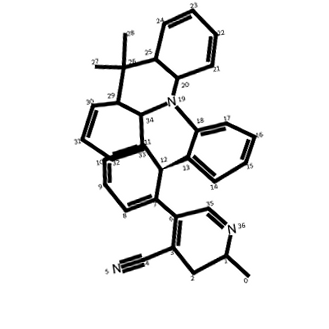 CC1CC(C#N)=C(C2=CC=CC[C@H]2c2ccccc2N2C3C=CC=CC3C(C)(C)C3C=CC=CC32)C=N1